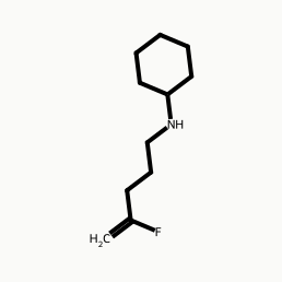 C=C(F)CCCNC1CCCCC1